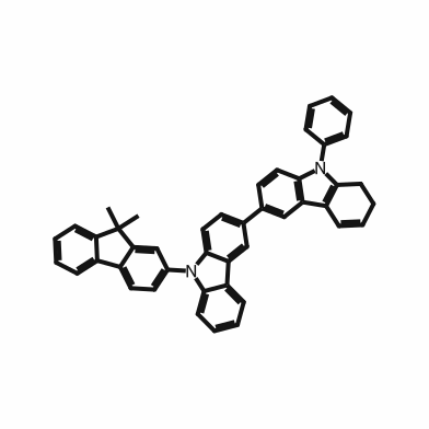 CC1(C)c2ccccc2-c2ccc(-n3c4ccccc4c4cc(-c5ccc6c(c5)c5c(n6-c6ccccc6)CCC=C5)ccc43)cc21